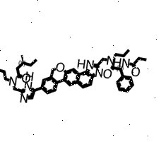 CCCN(Cc1ncc(-c2ccc3c(c2)COc2cc4c(ccc5nc(CN(CCC)C(=O)[C@H](NC(=O)CC)c6ccccc6)[nH]c54)cc2-3)[nH]1)C(=O)C[C@@H](C)CC